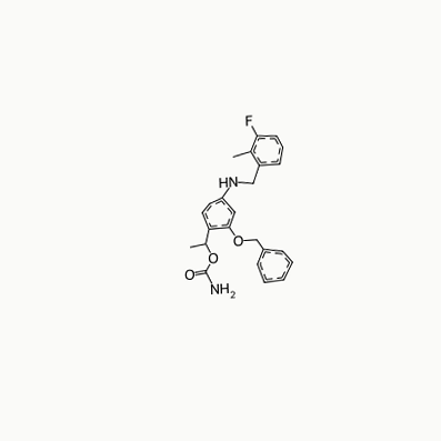 Cc1c(F)cccc1CNc1ccc(C(C)OC(N)=O)c(OCc2ccccc2)c1